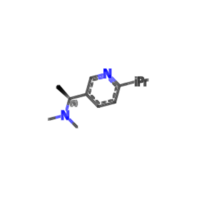 CC(C)c1ccc([C@H](C)N(C)C)cn1